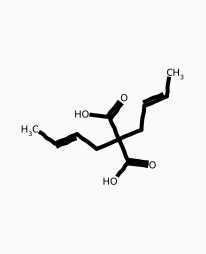 CC=CCC(CC=CC)(C(=O)O)C(=O)O